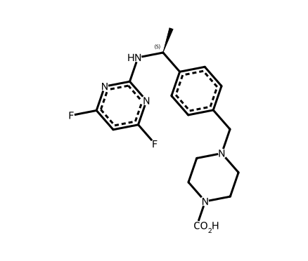 C[C@H](Nc1nc(F)cc(F)n1)c1ccc(CN2CCN(C(=O)O)CC2)cc1